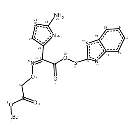 CC(C)(C)OC(=O)CO/N=C(\C(=O)OSc1nc2ccccc2s1)c1csc(N)n1